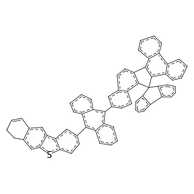 C1=Cc2cc3c(cc2CC1)sc1ccc(-c2c4ccccc4c(-c4ccc5c6c(ccc5c4)-c4c(c5ccccc5c5ccccc45)C64c5ccccc5-c5ccccc54)c4ccccc24)cc13